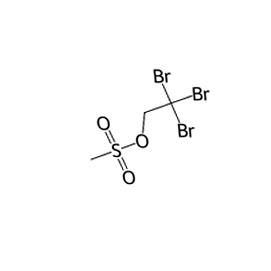 CS(=O)(=O)OCC(Br)(Br)Br